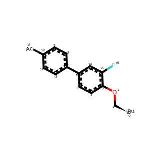 CC[C@H](C)COc1ccc(-c2ccc(C(C)=O)cc2)cc1F